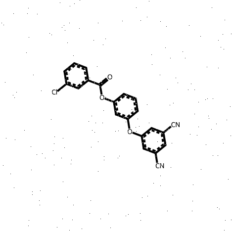 N#Cc1cc(C#N)cc(Oc2cccc(OC(=O)c3cccc(Cl)c3)c2)c1